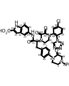 CC(C)N1CCN(c2ccc(CC(C(=O)Nc3ccc4[nH]c(C(=O)O)cc4c3)N3CCN(c4cc(Cl)ccc4-n4cnnn4)C(=O)C3=O)cc2)C(=O)C1